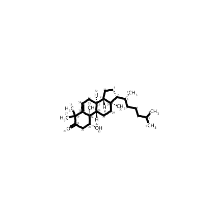 CC(C)CCC[C@@H](C)[C@H]1CC[C@H]2[C@@H]3CC=C4C(C)(C)C(=O)C[C@@H](O)[C@]4(C)[C@H]3CC[C@]12C